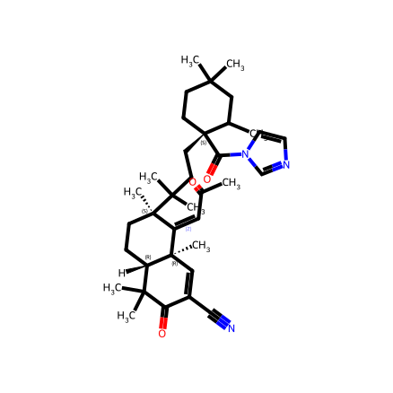 CC(=O)/C=C1/[C@@]2(C)C=C(C#N)C(=O)C(C)(C)[C@@H]2CC[C@@]1(C)C(C)(C)CC[C@@]1(C(=O)n2ccnc2)CCC(C)(C)CC1C